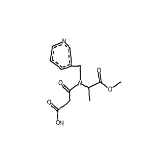 COC(=O)C(C)N(Cc1cccnc1)C(=O)CC(=O)O